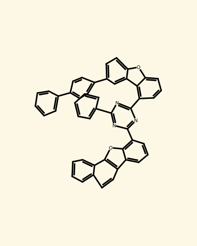 c1ccc(-c2ccc(-c3ccc4oc5cccc(-c6nc(-c7ccccc7)nc(-c7cccc8c7oc7c9ccccc9ccc87)n6)c5c4c3)cc2)cc1